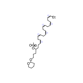 CC/C=C\C/C=C\C/C=C\C/C=C\C/C=C\C/C=C\CCC(CCCOC1CCCCO1)OS(C)(=O)=O